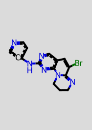 BrC1=Cc2cnc(Nc3ccncc3)nc2N2CCCN=C12